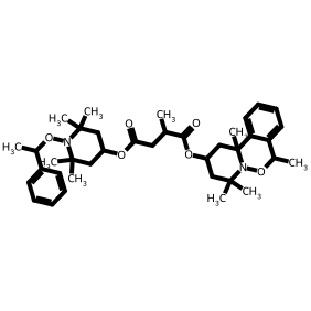 CC(CC(=O)OC1CC(C)(C)N(OC(C)c2ccccc2)C(C)(C)C1)C(=O)OC1CC(C)(C)N2OC(C)c3ccccc3C2(C)C1